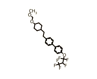 COCOC1CCC(CCc2ccc(-c3ccc(OC(F)(F)C(F)C(F)(F)F)cc3)cc2)CC1